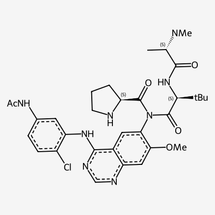 CN[C@@H](C)C(=O)N[C@H](C(=O)N(C(=O)[C@@H]1CCCN1)c1cc2c(Nc3cc(NC(C)=O)ccc3Cl)ncnc2cc1OC)C(C)(C)C